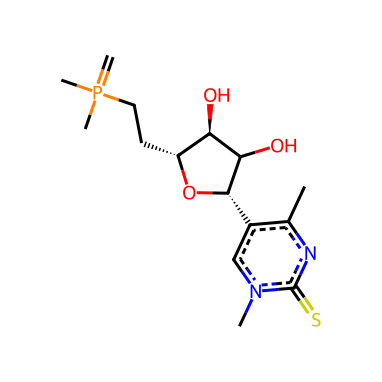 C=P(C)(C)CC[C@H]1O[C@@H](c2cn(C)c(=S)nc2C)C(O)[C@@H]1O